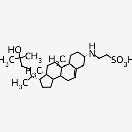 CC(CCC(C)(C)O)[C@H]1CCC2C3CC=C4C[C@@H](NCCS(=O)(=O)O)CC[C@]4(C)C3CC[C@@]21C